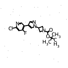 CC(C)(C)OC(=O)N1CC(n2cc(-c3cnc(Cl)cc3F)cn2)C1